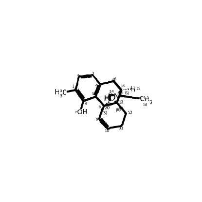 Cc1ccc2c(c1O)[C@]13C=CCC[C@]1(O)[C@H](C2)N(C)CC3